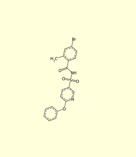 Cc1cc(Br)ccc1C(=O)NS(=O)(=O)c1ccc(Oc2ccccc2)nc1